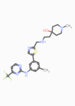 Cc1cc(Nc2nccc(C(F)(F)F)n2)cc(-c2cnc(CNCCC3(O)CCN(C)CC3)s2)c1